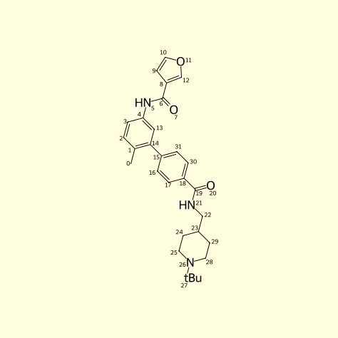 Cc1ccc(NC(=O)c2ccoc2)cc1-c1ccc(C(=O)NCC2CCN(C(C)(C)C)CC2)cc1